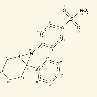 O=[N+]([O-])S(=O)(=O)c1ccc(N2I3CCCCC23c2ccccc2)cc1